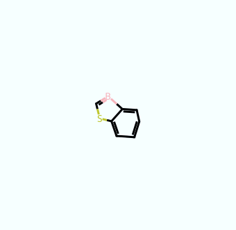 b1csc2ccccc12